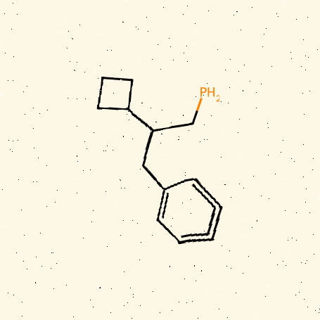 PCC(CC1=CC=C=C=C1)C1CCC1